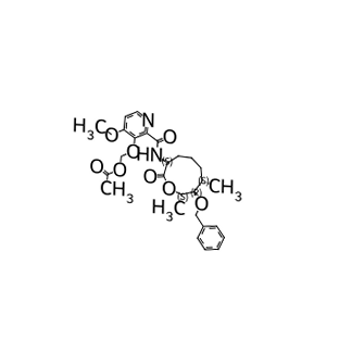 COc1ccnc(C(=O)N[C@H]2CCC[C@H](C)[C@@H](OCc3ccccc3)[C@H](C)OC2=O)c1OCOC(C)=O